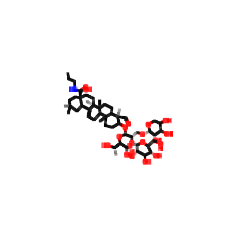 CCCNC(=O)[C@]12CCC(C)(C)CC1C1=CCC3C4(C)CC[C@H](O[C@H](OC(C(=O)O)[C@H](C)O)[C@H](CO[C@@H]5OC[C@@H](O)C(O)[C@@H]5O)O[C@@H]5OC(CO)[C@H](O)C(O)[C@@H]5O)[C@](C)(C=O)C4CC[C@@]3(C)[C@]1(C)C[C@H]2O